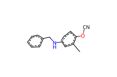 Cc1cc(NCc2ccccc2)ccc1OC#N